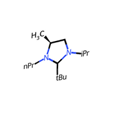 CCCN1C(C(C)(C)C)N(C(C)C)C[C@@H]1C